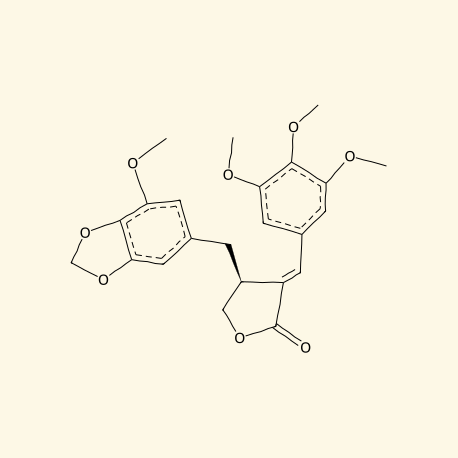 COc1cc(/C=C2/C(=O)OC[C@H]2Cc2cc(OC)c3c(c2)OCO3)cc(OC)c1OC